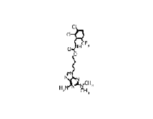 CN(C)c1nc(N)c2ncn(CCCCOC(=O)NCc3c(C(F)(F)F)ccc(Cl)c3Cl)c2n1